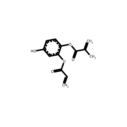 C=CC(=O)Oc1cc(O)ccc1OC(=O)C(=C)C